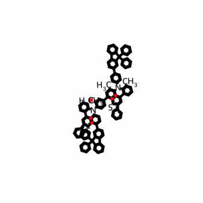 Cc1cc(-c2ccc(N(c3ccc(-c4ccc5c(c4)C(c4ccccc4)(c4ccccc4)c4ccccc4-5)cc3)c3c(C)cccc3-c3ccc4sc5ccccc5c4c3)c(C)c2)ccc1N(c1ccc(-c2ccc3c(c2)C(c2ccccc2)(c2ccccc2)c2ccccc2-3)cc1)c1c(C)cccc1-c1ccc2sc3ccccc3c2c1